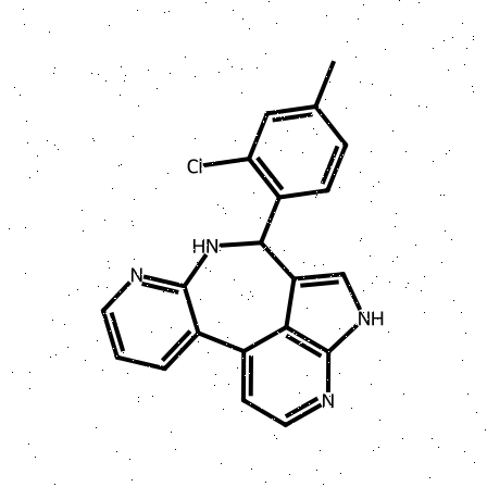 Cc1ccc(C2Nc3ncccc3-c3ccnc4[nH]cc2c34)c(Cl)c1